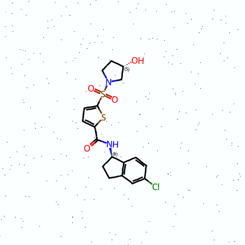 O=C(N[C@@H]1CCc2cc(Cl)ccc21)c1ccc(S(=O)(=O)N2CC[C@H](O)C2)s1